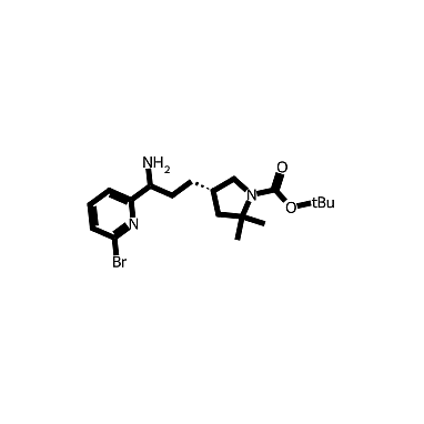 CC(C)(C)OC(=O)N1C[C@@H](CCC(N)c2cccc(Br)n2)CC1(C)C